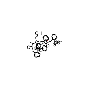 C[C@H](C(=O)OCc1ccccc1[N+](=O)[O-])[C@H]1C(=O)N(CP(C(=O)OCc2ccccc2[N+](=O)[O-])(c2ccccc2)(c2ccccc2)c2ccccc2)[C@@H]1CCO